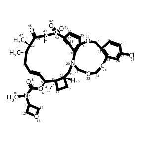 C[C@H]1C/C=C/[C@H](OC(=O)N(C)C2COC2)[C@@H]2CC[C@H]2CN2COCCc3cc(Cl)ccc3COc3ccc(cc32)S(=O)(=O)NC(=O)[C@@H]1C